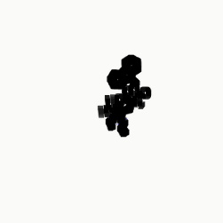 C=C/C=c1/c(CC(C(=O)O)N(C)C(=O)OCC2c3ccccc3-c3ccccc32)c[nH]/c1=C/C